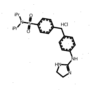 CC(C)N(C(C)C)S(=O)(=O)c1ccc(Cc2ccc(NC3=NCCN3)cc2)cc1.Cl